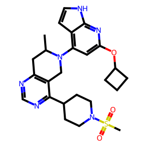 CC1Cc2ncnc(C3CCN(S(C)(=O)=O)CC3)c2CN1c1cc(OC2CCC2)nc2[nH]ccc12